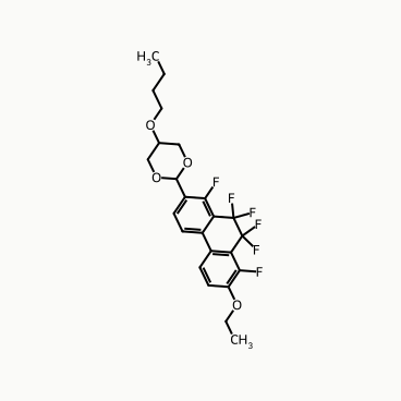 CCCCOC1COC(c2ccc3c(c2F)C(F)(F)C(F)(F)c2c-3ccc(OCC)c2F)OC1